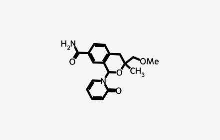 COCC1(C)Cc2ccc(C(N)=O)cc2C(n2ccccc2=O)O1